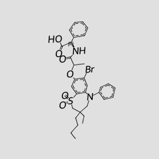 CCCCC1(CC)CN(c2ccccc2)c2cc(Br)c(OC(C)C(=O)N[C@@H](C(=O)O)c3ccccc3)cc2S(=O)(=O)C1